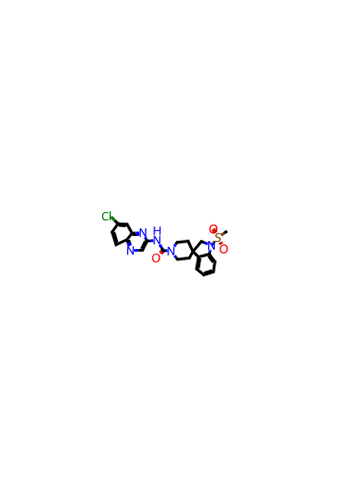 CS(=O)(=O)N1CC2(CCN(C(=O)Nc3cnc4ccc(Cl)cc4n3)CC2)c2ccccc21